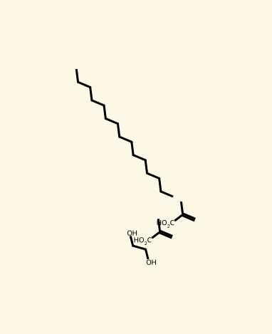 C=C(C)C(=O)O.C=C(C)C(=O)O.CCCCCCCCCCCCCCC.OCCO